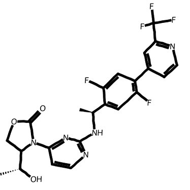 C[C@H](Nc1nccc(N2C(=O)OCC2[C@@H](C)O)n1)c1cc(F)c(-c2ccnc(C(F)(F)F)c2)cc1F